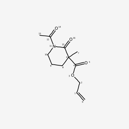 C=CCOC(=O)C1(C)CCCN(C(C)=O)C1=O